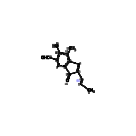 C/C=C/C1=Cc2c(cc(C=O)c(O)c2C)C1=O